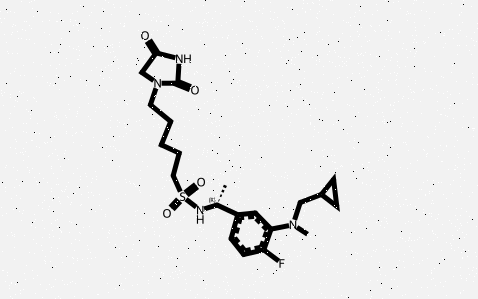 C[C@@H](NS(=O)(=O)CCCCCN1CC(=O)NC1=O)c1ccc(F)c(N(C)CC2CC2)c1